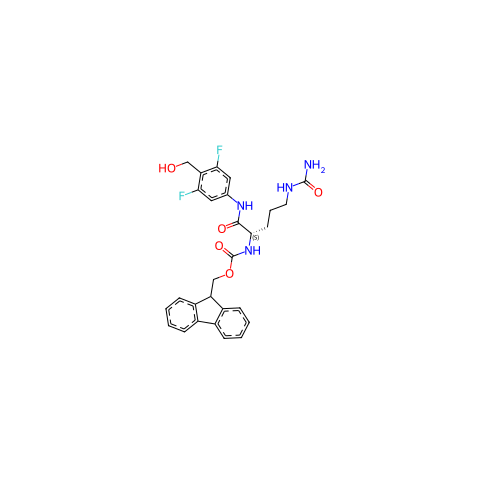 NC(=O)NCCC[C@H](NC(=O)OCC1c2ccccc2-c2ccccc21)C(=O)Nc1cc(F)c(CO)c(F)c1